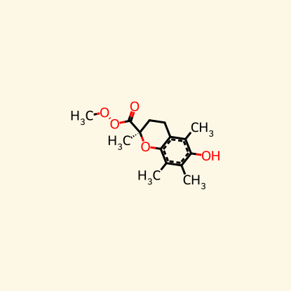 COOC(=O)[C@@]1(C)CCc2c(C)c(O)c(C)c(C)c2O1